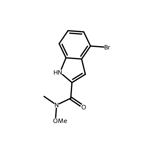 CON(C)C(=O)c1cc2c(Br)cccc2[nH]1